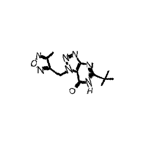 Cc1nonc1Cn1nnc2nc(C(C)(C)C)[nH]c(=O)c21